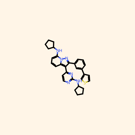 c1cc(-c2ccsc2)cc(-c2nn3c(NC4CCCC4)cccc3c2-c2ccnc(NC3CCCC3)n2)c1